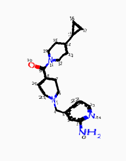 Nc1cc(CN2CCC(C(=O)N3CCC(C4CC4)CC3)CC2)ccn1